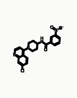 O=C(NC1CCN(c2ccnc3cc(Cl)ccc23)CC1)c1cccc([N+](=O)[O-])c1